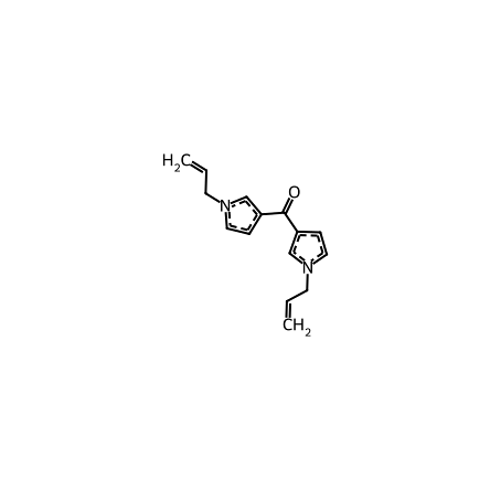 C=CCn1ccc(C(=O)c2ccn(CC=C)c2)c1